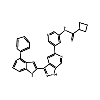 O=C(Nc1cncc(-c2cc3c(-c4cc5c(-c6ccccn6)cccc5[nH]4)n[nH]c3cn2)c1)C1CCC1